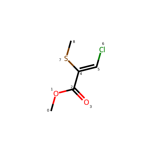 COC(=O)C(=CCl)SC